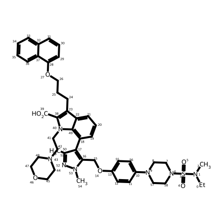 CCN(C)S(=O)(=O)N1CCN(c2ccc(OCc3c(-c4cccc5c(CCCOc6cccc7ccccc67)c(C(=O)O)n(CCN6CCOCC6)c45)c(C)nn3C)cc2)CC1